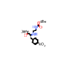 COC(=O)[C@@H](Cc1ccc([N+](=O)[O-])cc1)NCCNC(=O)OC(C)(C)C